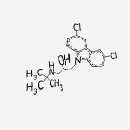 CC(C)(C)NCC(O)Cn1c2ccc(Cl)cc2c2cc(Cl)ccc21